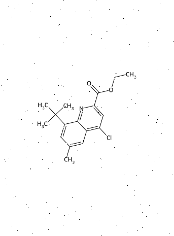 CCOC(=O)c1cc(Cl)c2cc(C)cc(C(C)(C)C)c2n1